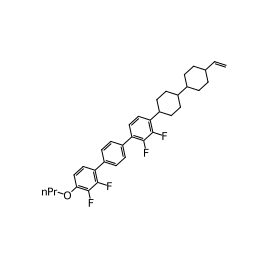 C=CC1CCC(C2CCC(c3ccc(-c4ccc(-c5ccc(OCCC)c(F)c5F)cc4)c(F)c3F)CC2)CC1